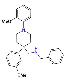 COc1cccc(C2(CNCc3ccccc3)CCN(c3ccccc3OC)CC2)c1